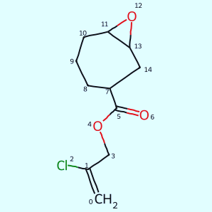 C=C(Cl)COC(=O)C1CCCC2OC2C1